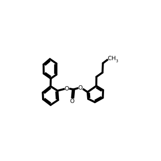 CCCCc1ccccc1OC(=O)Oc1ccccc1-c1ccccc1